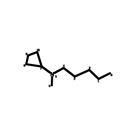 CCCCCN(C)C1CCC1